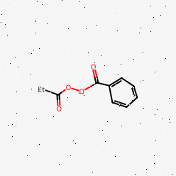 CCC(=O)OOC(=O)c1ccccc1